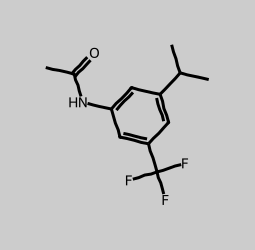 CC(=O)Nc1cc(C(C)C)cc(C(F)(F)F)c1